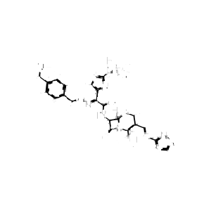 Cl.Cl.NCc1ccc(CON=C(C(=O)NC2C(=O)N3C(C(=O)O)=C(CSc4nncs4)CS[C@@H]23)c2csc(N)n2)cc1